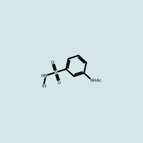 [CH2]CNS(=O)(=O)c1cccc(NC(C)=O)c1